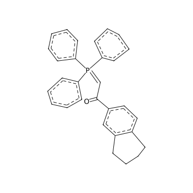 O=C(C=P(c1ccccc1)(c1ccccc1)c1ccccc1)c1ccc2c(c1)CCCC2